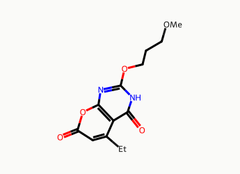 CCc1cc(=O)oc2nc(OCCCOC)[nH]c(=O)c12